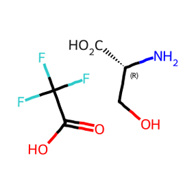 N[C@H](CO)C(=O)O.O=C(O)C(F)(F)F